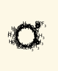 CC[C@H](C)[C@@H]1NC(=O)[C@H](CC(C)C)N(C)C(=O)C[C@@H](C)N(C)C(=O)[C@H](C(C)C)N(C)C(=O)C2(CCCC2)NC(=O)[C@@H]2CCCN2C(=O)[C@H](CCc2ccc(C(F)(F)F)c(Cl)c2)NC(=O)CN(C)C(=O)[C@H](CC2CCCC2)N(C)C(=O)CN(C)C(=O)CN(C)C1=O